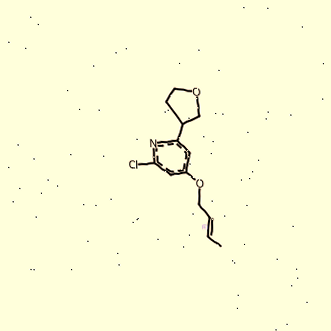 C/C=C/COc1cc(Cl)nc(C2CCOC2)c1